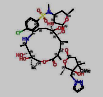 CC[C@H]1OC(=O)[C@H](C)[C@@H](O[C@H]2C[C@@](C)(OC)[C@](O)(Cn3cccn3)[C@H](C)O2)[C@H](C)[C@@H](O[C@@H]2O[C@H](C)C[C@H](N(C)S(=O)(=O)c3ccc(Cl)cc3)[C@H]2O)[C@](C)(O)C[C@@H](C)CN[C@H](C)[C@@H](O)[C@]1(C)O